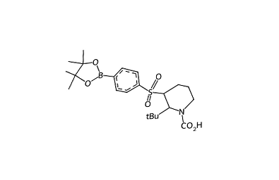 CC(C)(C)C1C(S(=O)(=O)c2ccc(B3OC(C)(C)C(C)(C)O3)cc2)CCCN1C(=O)O